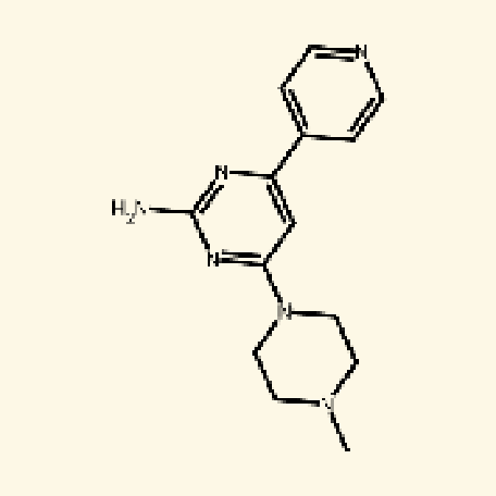 CN1CCN(c2cc(-c3ccncc3)nc(N)n2)CC1